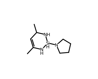 CC1=CC(C)N[SiH](N2CCCC2)N1